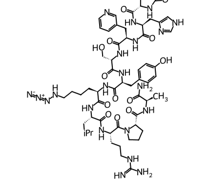 CC(C)C[C@H](NC(=O)[C@@H](CCCCNN=[N+]=[N-])NC(=O)[C@H](Cc1ccc(O)cc1)NC(=O)[C@H](CO)NC(=O)[C@@H](Cc1cccnc1)NC(=O)[C@H](Cc1c[nH]cn1)NC(=O)[C@@H]1CCC(=O)N1)C(=O)N[C@@H](CCCNC(=N)N)C(=O)N1CCC[C@H]1C(=O)N[C@H](C)C(N)=O